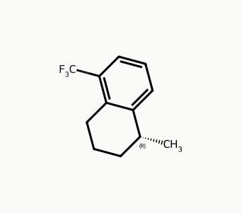 C[C@@H]1CCCc2c1cccc2C(F)(F)F